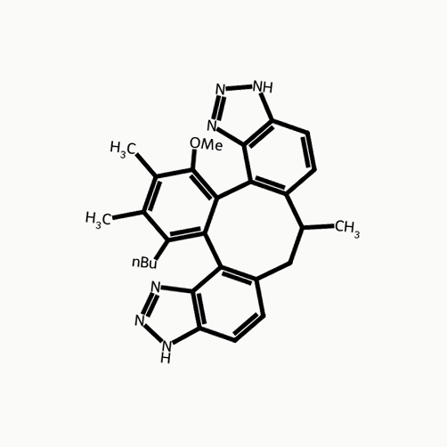 CCCCc1c(C)c(C)c(OC)c2c1-c1c(ccc3[nH]nnc13)CC(C)c1ccc3[nH]nnc3c1-2